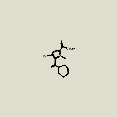 COC(=O)c1cc(Br)c(C(=O)C2CCCCC2)n1C